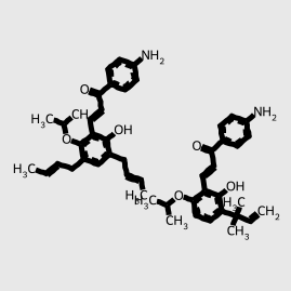 C=CC(C)(C)c1ccc(OC(C)C)c(C=CC(=O)c2ccc(N)cc2)c1O.CC=CCc1cc(CC=CC)c(OC(C)C)c(C=CC(=O)c2ccc(N)cc2)c1O